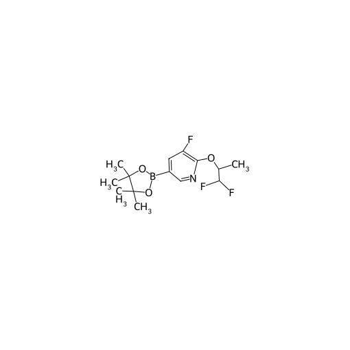 CC(Oc1ncc(B2OC(C)(C)C(C)(C)O2)cc1F)C(F)F